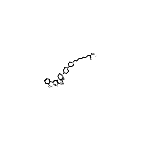 NC(=O)CCCCCCCN1CCC(N2CCC(N3CCN4c5cc(-c6ccccc6O)nnc5NC[C@H]4C3)CC2)CC1